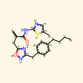 C=C(Cc1nc(Cc2ccc(CCCC)cc2)no1)C(=O)Nc1ncc(C)s1